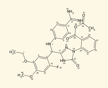 CCOc1cc(C(Nc2ccc(C(=N)N)cc2)c2nn(-c3ccccc3C(=O)OC(C)=O)c(=O)[nH]2)c(F)cc1OC